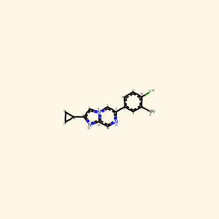 CC(C)c1cc(-c2cn3cc(C4CC4)nc3cn2)ccc1F